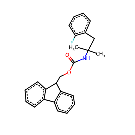 CC(C)(Cc1ccccc1F)NC(=O)OCC1c2ccccc2-c2ccccc21